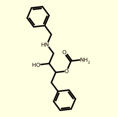 NC(=O)OC(Cc1ccccc1)C(O)CNCc1ccccc1